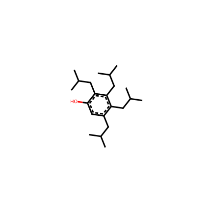 CC(C)Cc1cc(O)c(CC(C)C)c(CC(C)C)c1CC(C)C